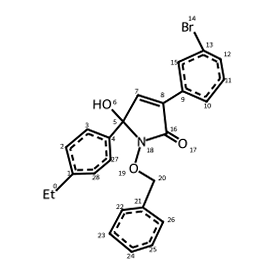 CCc1ccc(C2(O)C=C(c3cccc(Br)c3)C(=O)N2OCc2ccccc2)cc1